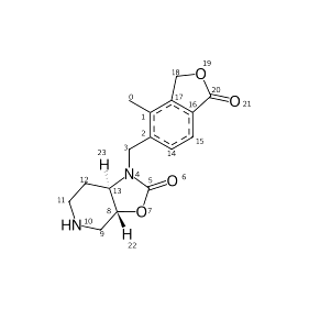 Cc1c(CN2C(=O)O[C@@H]3CNCC[C@H]32)ccc2c1COC2=O